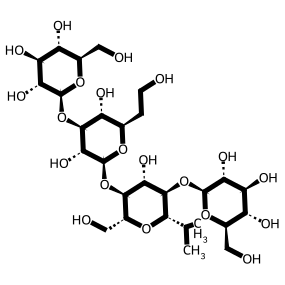 CC(C)[C@@H]1O[C@H](CO)[C@@H](O[C@@H]2O[C@H](CCO)[C@@H](O)[C@H](O[C@@H]3O[C@H](CO)[C@@H](O)[C@H](O)[C@H]3O)[C@H]2O)[C@H](O)[C@H]1O[C@@H]1O[C@H](CO)[C@@H](O)[C@H](O)[C@H]1O